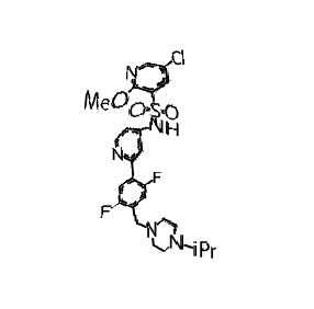 COc1ncc(Cl)cc1S(=O)(=O)Nc1ccnc(-c2cc(F)c(CN3CCN(C(C)C)CC3)cc2F)c1